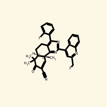 CC1(C)C(=O)C(C#N)=C[C@@]2(C)c3nc(-c4cc(CF)nc5ccccc45)nc(-c4ccccc4F)c3CC[C@H]12